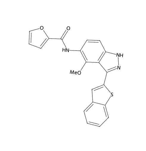 COc1c(NC(=O)c2ccco2)ccc2[nH]nc(-c3cc4ccccc4s3)c12